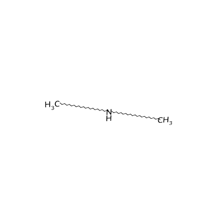 CCCCCCCCCCCCCCCCCCCCCCNCCCCCCCCCCCCCCCCCCCCCC